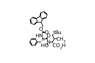 CC(CC(C)(C)C)C(C(=O)O)N(O)C(=O)[C@H](Cc1ccccc1)NC(=O)OCC1c2ccccc2-c2ccccc21